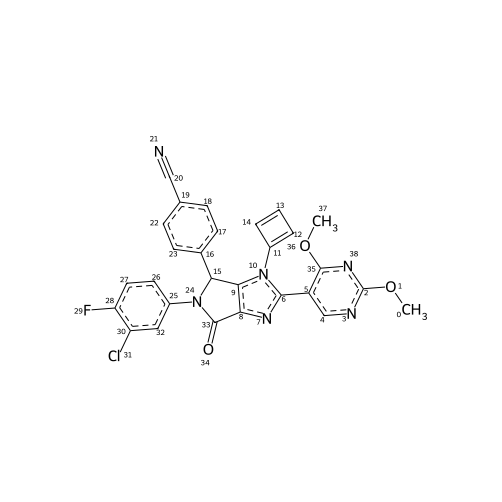 COc1ncc(-c2nc3c(n2C2=CC=C2)C(c2ccc(C#N)cc2)N(c2ccc(F)c(Cl)c2)C3=O)c(OC)n1